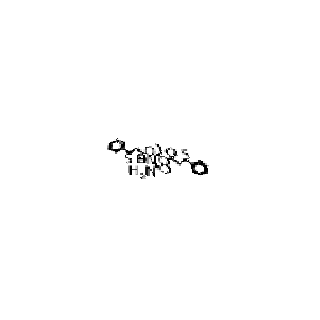 CCC(NC(N)=O)(OC(=O)CC(=S)c1ccccc1)OC(=O)CC(=S)c1ccccc1